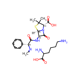 C=N[C@@H](C(=O)N[C@@H]1C(=O)N2[C@@H]1SC(C)(C)[C@@H]2C(=O)O)c1ccccc1.NCCCCC(N)C(=O)O